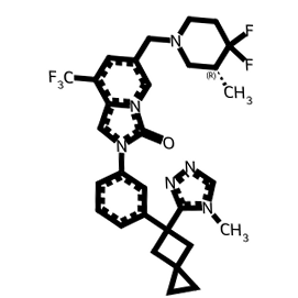 C[C@@H]1CN(Cc2cc(C(F)(F)F)c3cn(-c4cccc(C5(c6nncn6C)CC6(CC6)C5)c4)c(=O)n3c2)CCC1(F)F